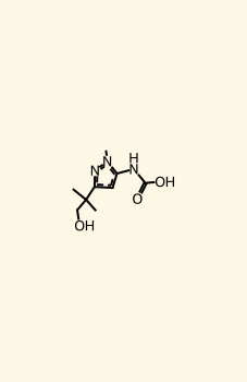 Cn1nc(C(C)(C)CO)cc1NC(=O)O